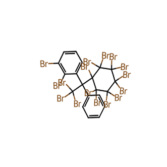 Brc1cccc(C(c2ccccc2)(C(Br)(Br)Br)C2(Br)C(Br)(Br)C(Br)(Br)C(Br)(Br)C(Br)(Br)C2(Br)Br)c1Br